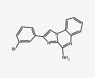 Nc1nc2ccccc2n2cc(-c3cccc(Br)c3)nc12